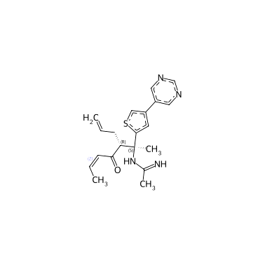 C=CC[C@@H](C(=O)/C=C\C)[C@](C)(NC(C)=N)c1cc(-c2cncnc2)cs1